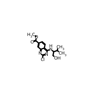 COC(=O)c1ccc2c(NC(CO)C(C)C)nc(Cl)nc2c1